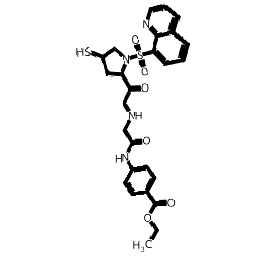 CCOC(=O)c1ccc(NC(=O)CNCC(=O)C2CC(S)CN2S(=O)(=O)c2cccc3cccnc23)cc1